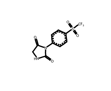 O=C1CNC(=O)N1c1ccc(S(=O)(=O)C(F)(F)F)cc1